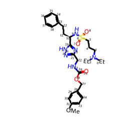 CCN(CC)CCCS(=O)(=O)N[C@H](CCc1ccccc1)c1nc(CNC(=O)OCc2ccc(OC)cc2)n[nH]1